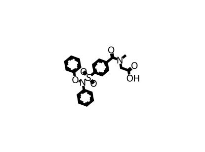 CN(CC(=O)O)C(=O)c1ccc(S(=O)(=O)N(Oc2ccccc2)c2ccccc2)cc1